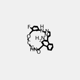 Nc1cc2c3ccccc3c1-c1ccnc(n1)Nc1ccc(F)c(c1)COCCCCNC2=O